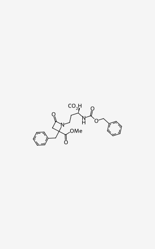 COC(=O)C1(Cc2ccccc2)CC(=O)N1CC[C@H](NC(=O)OCc1ccccc1)C(=O)O